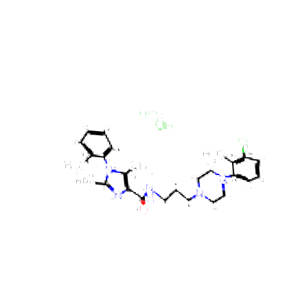 CCCc1nc(C(=O)NCCCN2CCN(c3cccc(Cl)c3C)CC2)c(C)n1-c1ccccc1C.Cl.Cl